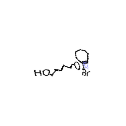 OCCCCCCOC1CCCCC/C=C\1Br